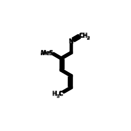 C=NC/C(=C\C=C/C)SC